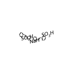 O=S(=O)(O)c1ccccc1C=Cc1ccc(-c2ccc(C=Cc3ccccc3S(=O)(=O)O)cc2)cc1.[NaH]